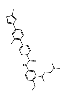 COc1ccc(NC(=O)c2ccc(-c3ccc(-c4noc(C)n4)cc3C)cc2)cc1N(C)CCN(C)C